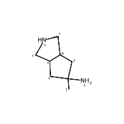 CC1(N)CC2CNCC2C1